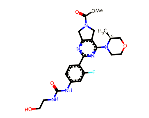 COC(=O)N1Cc2nc(-c3ccc(NC(=O)NCCO)cc3F)nc(N3CCOC[C@@H]3C)c2C1